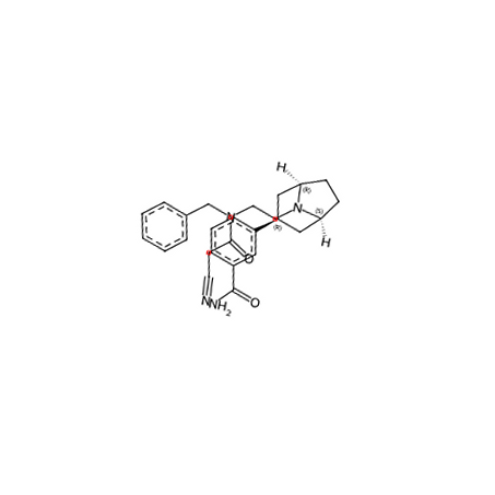 N#CCC(=O)N(CCN1[C@@H]2CC[C@H]1C[C@@H](c1cccc(C(N)=O)c1)C2)Cc1ccccc1